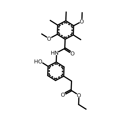 CCOC(=O)Cc1ccc(O)c(NC(=O)c2c(C)c(OC)c(C)c(C)c2OC)c1